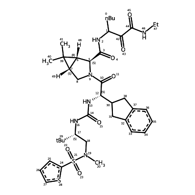 CCCCC(NC(=O)[C@@H]1[C@@H]2[C@H](CN1C(=O)[C@@H](NC(=O)N[C@H](CN(C)S(=O)(=O)c1cccs1)C(C)(C)C)C1Cc3ccccc3C1)C2(C)C)C(=O)C(=O)NCC